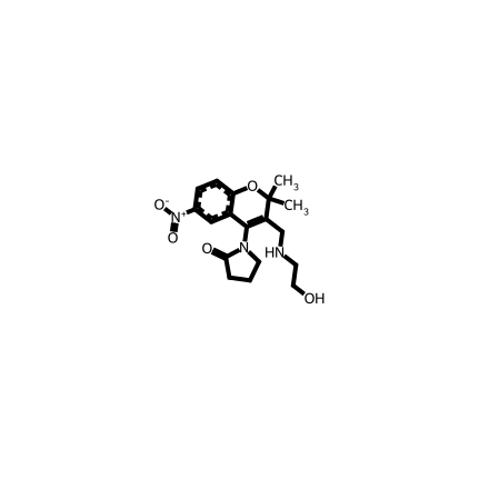 CC1(C)Oc2ccc([N+](=O)[O-])cc2C(N2CCCC2=O)=C1CNCCO